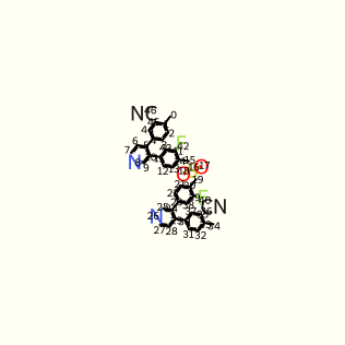 Cc1ccc(-c2ccncc2-c2ccc(CS(=O)(=O)Cc3ccc(-c4cnccc4-c4ccc(C)c(C#N)c4)cc3F)c(F)c2)cc1C#N